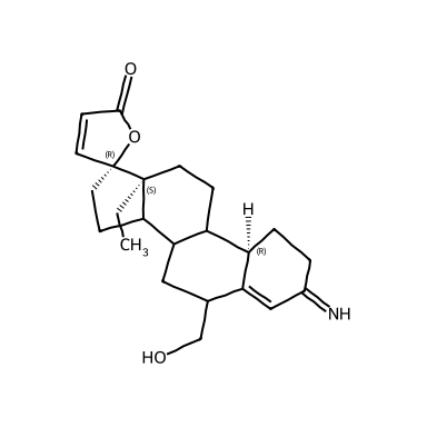 CC[C@]12CCC3C(CC(CO)C4=CC(=N)CC[C@@H]43)C1CC[C@@]21C=CC(=O)O1